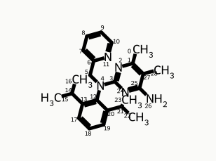 Cc1nc(N(Cc2ccccn2)c2c(C(C)C)cccc2C(C)C)nc(N)c1C